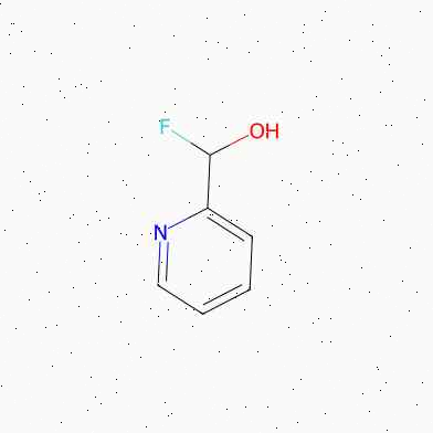 OC(F)c1ccccn1